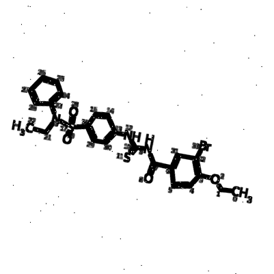 CCOc1ccc(C(=O)NC(=S)Nc2ccc(S(=O)(=O)N(CC)c3ccccc3)cc2)cc1Br